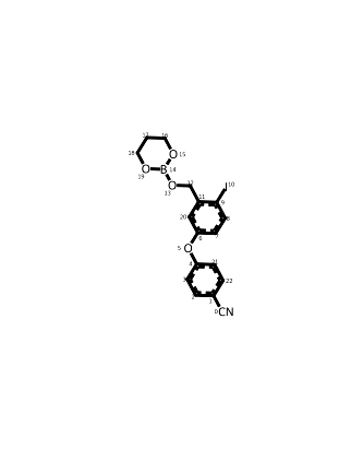 N#Cc1ccc(Oc2ccc(I)c(COB3OCCCO3)c2)cc1